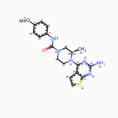 COc1ccc(NC(=O)N2CCN(c3nc(N)nc4sccc34)[C@H](C)C2)cc1